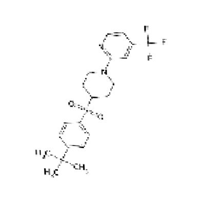 CC(C)(C)c1ccc(S(=O)(=O)C2CCN(c3cc(C(F)(F)F)ccn3)CC2)cc1